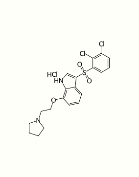 Cl.O=S(=O)(c1cccc(Cl)c1Cl)c1c[nH]c2c(OCCN3CCCC3)cccc12